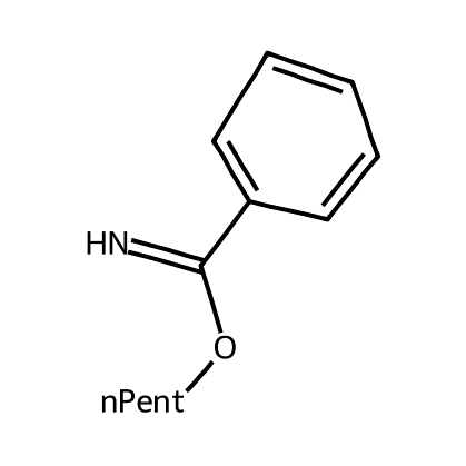 CCCCCOC(=N)c1ccccc1